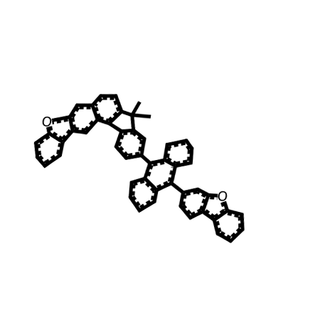 CC1(C)c2cc(-c3c4ccccc4c(-c4ccc5c(c4)oc4ccccc45)c4ccccc34)ccc2-c2c1ccc1cc3oc4ccccc4c3cc21